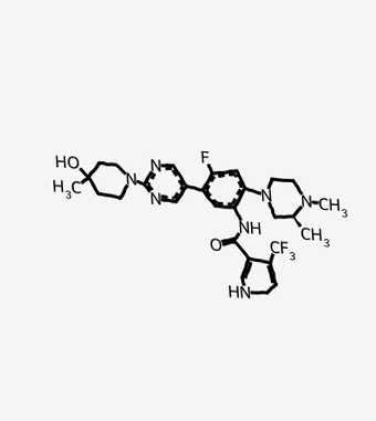 C[C@H]1CN(c2cc(F)c(-c3cnc(N4CCC(C)(O)CC4)nc3)cc2NC(=O)C2=CNCC=C2C(F)(F)F)CCN1C